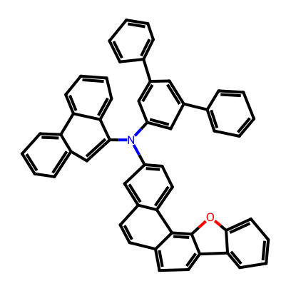 c1ccc(-c2cc(-c3ccccc3)cc(N(c3ccc4c(ccc5ccc6c7ccccc7oc6c54)c3)c3cc4ccccc4c4ccccc34)c2)cc1